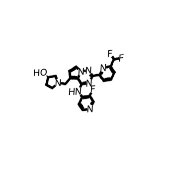 O[C@H]1CCN(Cc2ccn3nc(-c4cccc(C(F)F)n4)nc(Nc4ccncc4F)c23)C1